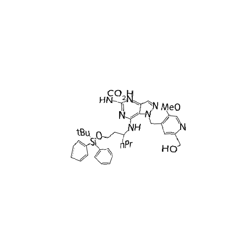 CCCC(CCO[Si](c1ccccc1)(c1ccccc1)C(C)(C)C)Nc1nc(NC(=O)O)nc2cnn(Cc3cc(CO)ncc3OC)c12